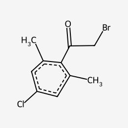 Cc1cc(Cl)cc(C)c1C(=O)CBr